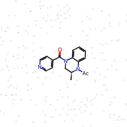 CC(=O)N1c2ccccc2N(C(=O)c2ccncc2)C[C@@H]1C